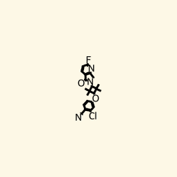 CC1(C)C(Oc2ccc(C#N)c(Cl)c2)C(C)(C)C1N1Cc2nc(F)ccc2C1=O